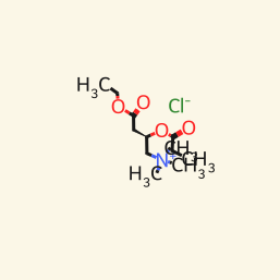 CCOC(=O)C[C@H](C[N+](C)(C)C)OC(=O)CC.[Cl-]